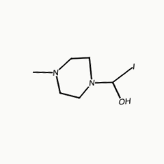 CN1CCN(C(O)I)CC1